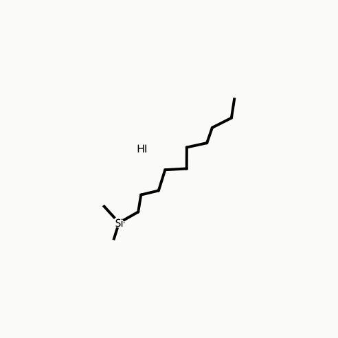 CCCCCCCCCC[Si](C)C.I